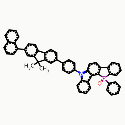 CC1(C)c2cc(-c3ccc(-n4c5ccccc5c5c6c(ccc54)-c4ccccc4P6(=O)c4ccccc4)cc3)ccc2-c2ccc(-c3cccc4ccccc34)cc21